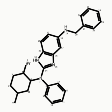 CC1CCC(C(C)C)C(N(c2ccccc2)c2nc3cc(NCc4ccccc4)ccc3[nH]2)C1